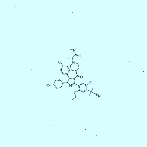 CCOc1cc(C(C)(C)C#N)c(Cl)cc1C1=N[C@@H](C2C=CC(Cl)=CC2)[C@@H](c2ccc(Cl)cc2)N1C(=O)N1CCN(CC(=O)N(C)C)CC1